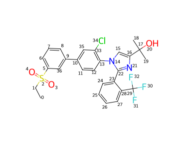 CCS(=O)(=O)c1cccc(-c2ccc(-n3cc(C(C)(C)O)nc3-c3ccccc3C(F)(F)F)c(Cl)c2)c1